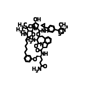 Cc1ncsc1-c1ccc(C2(NC(=O)[C@@H]3C[C@@H](O)CN3C(=O)[C@@H](NC(=O)CCCCCc3cccc(OC[C@H](CCC(N)=O)NC(=O)[C@@H]4Cc5cccc6c5N4C(=O)[C@@H](N)CC6)c3)C(C)(C)C)CC2)cc1